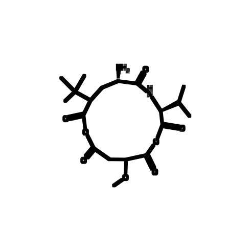 COC1CC(=O)OC(=O)C(C(C)(C)C)C[C@H](N)C(=O)N[C@@H](C(C)C)C(=O)OC1=O